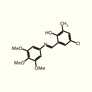 COc1cc(/N=C/c2cc(Cl)cc(C)c2O)cc(OC)c1OC